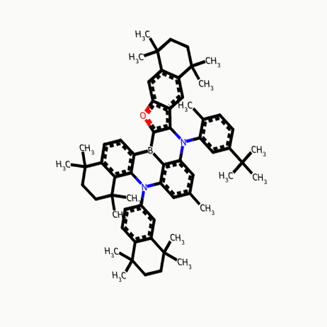 Cc1cc2c3c(c1)N(c1cc(C(C)(C)C)ccc1C)c1c(oc4cc5c(cc14)C(C)(C)CCC5(C)C)B3c1ccc3c(c1N2c1ccc2c(c1)C(C)(C)CCC2(C)C)C(C)(C)CCC3(C)C